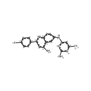 Nc1nc(Nc2ccc3nc(-c4ccc(F)cc4)cc(N)c3c2)cc(C(F)(F)F)n1